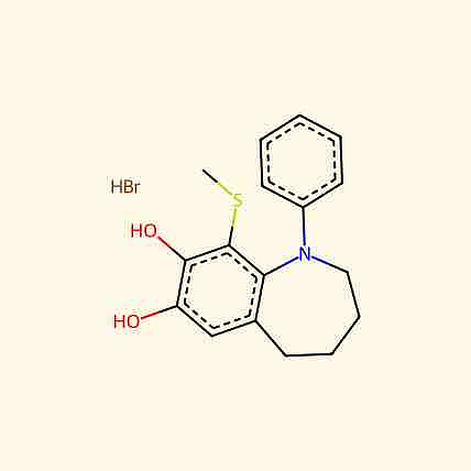 Br.CSc1c(O)c(O)cc2c1N(c1ccccc1)CCCC2